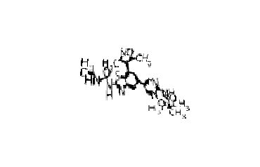 CCNC(=O)Nc1nc2cc(-c3cnc(NS(=O)(=O)C(C)(C)C)nc3)cc(-c3c(C)noc3C)c2s1